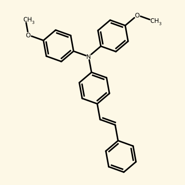 COc1ccc(N(c2ccc(/C=C/c3ccccc3)cc2)c2ccc(OC)cc2)cc1